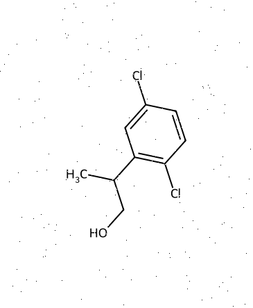 CC(CO)c1cc(Cl)ccc1Cl